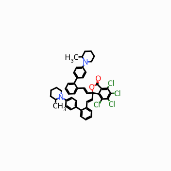 CC1CCCCN1c1ccc(-c2ccccc2C=CC2(C=Cc3ccccc3-c3ccc(N4CCCCC4C)cc3)OC(=O)c3c(Cl)c(Cl)c(Cl)c(Cl)c32)cc1